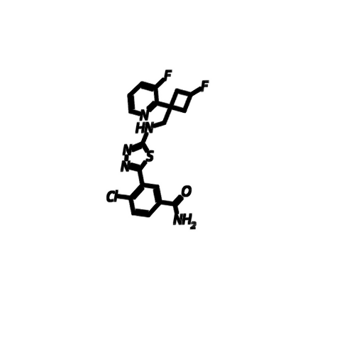 NC(=O)c1ccc(Cl)c(-c2nnc(NCC3(c4ncccc4F)CC(F)C3)s2)c1